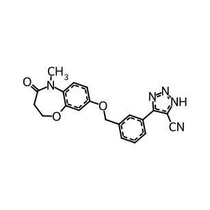 CN1C(=O)CCOc2cc(OCc3cccc(-c4nn[nH]c4C#N)c3)ccc21